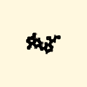 O=CC=C(Cl)c1cccc(Oc2ccc([N+](=O)[O-])c([N+](=O)[O-])c2)c1